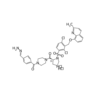 Cc1ccc2cccc(OCc3c(Cl)ccc(S(=O)(=O)N4CCC[C@H]4C(=O)N4CCN(C(=O)c5ccc(C=NN)cc5)CC4)c3Cl)c2n1.Cl.Cl